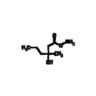 CCCC(C)(O)CC(=O)ON